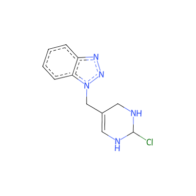 ClC1NC=C(Cn2nnc3ccccc32)CN1